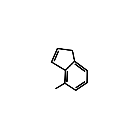 Cc1cccc2c1C=CC2